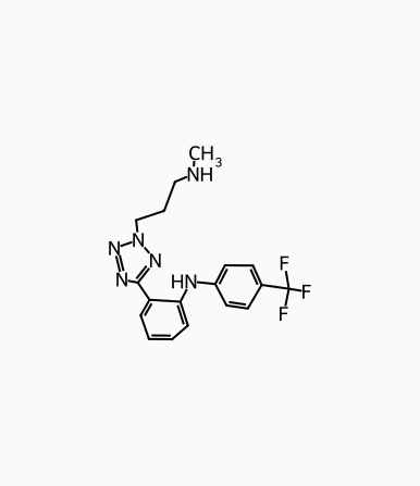 CNCCCn1nnc(-c2ccccc2Nc2ccc(C(F)(F)F)cc2)n1